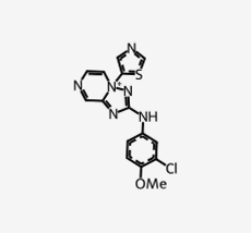 COc1ccc(NC2=N[N+]3(c4cncs4)C=CN=CC3=N2)cc1Cl